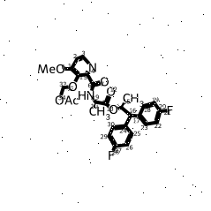 COc1ccnc(C(=O)N[C@@H](C)C(=O)O[C@@H](C)C(c2ccc(F)cc2)c2ccc(F)cc2)c1OCOC(C)=O